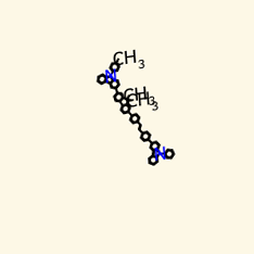 Cc1ccc(-n2c3ccccc3c3cc(-c4ccc5c(c4)C(C)(C)c4cc(-c6ccc(/C=C/c7ccc(-c8ccc9c(c8)c8ccccc8n9-c8ccccc8)cc7)cc6)ccc4-5)ccc32)cc1